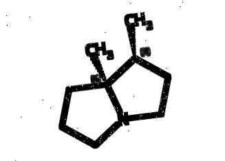 C[C@@H]1CCN2CCC[C@@]12C